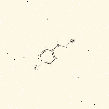 CCc1[c]cc(OCC#N)cc1